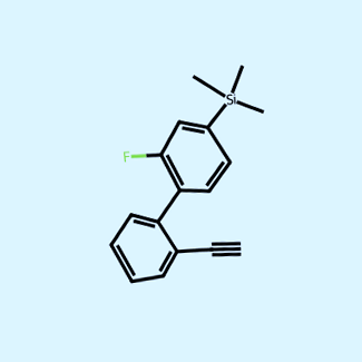 C#Cc1ccccc1-c1ccc([Si](C)(C)C)cc1F